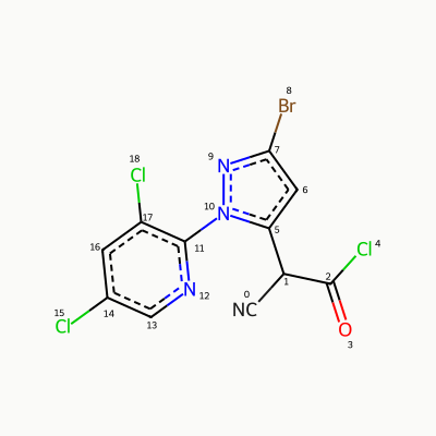 N#CC(C(=O)Cl)c1cc(Br)nn1-c1ncc(Cl)cc1Cl